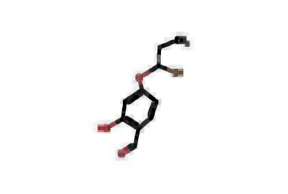 CCC(S)Oc1ccc(C=O)c(O)c1